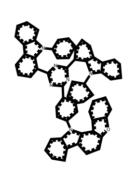 c1ccc(-n2c3ccccc3c3cccc(-c4nc(-c5ccc(-n6c7ccccc7c7ccc8oc9ccccc9c8c76)cc5)nc(-c5cccc6c7ccccc7n(-c7ccccc7)c56)n4)c32)cc1